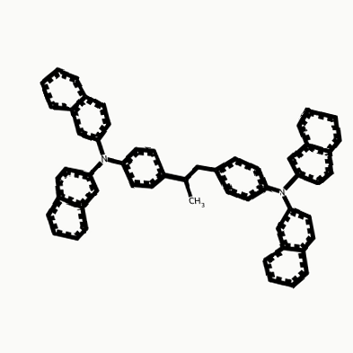 CC(Cc1ccc(N(c2ccc3ccccc3c2)c2ccc3ccccc3c2)cc1)c1ccc(N(c2ccc3ccccc3c2)c2ccc3ccccc3c2)cc1